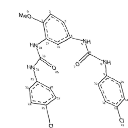 COc1ccc(NC(=O)Nc2ccc(Cl)cc2)cc1NC(=O)Nc1ccc(Cl)cc1